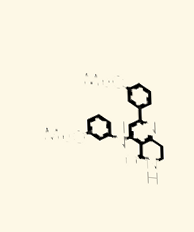 COc1cccc(Nc2cc(-c3cccc(OC)c3)nc3c2C(=O)NCC3)c1